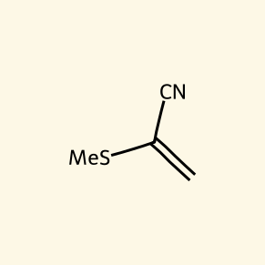 C=C(C#N)SC